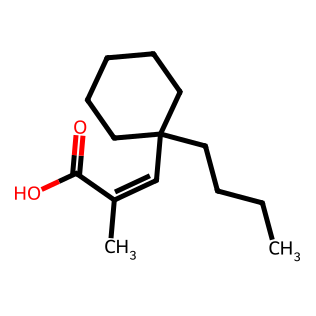 CCCCC1(C=C(C)C(=O)O)CCCCC1